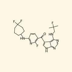 CC(C)(F)CNc1ncnc2[nH]cc(C(=O)c3ccc(NC4CCCC(F)(F)CC4)nc3F)c12